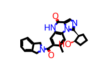 Cc1cc2c(cc1C(=O)N1Cc3ccccc3C1)[nH]c(=O)c1cnc([C@H]3CCC[C@H]3O)n12